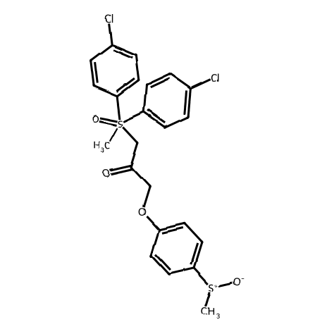 C[S+]([O-])c1ccc(OCC(=O)CS(C)(=O)(c2ccc(Cl)cc2)c2ccc(Cl)cc2)cc1